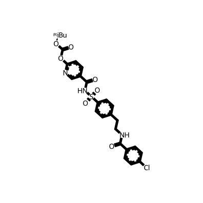 CC[C@@H](C)OC(=O)Oc1ccc(C(=O)NS(=O)(=O)c2ccc(CCNC(=O)c3ccc(Cl)cc3)cc2)cn1